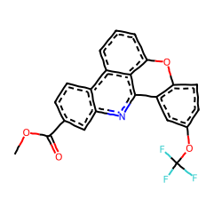 COC(=O)c1ccc2c(c1)nc1c3c(cccc32)Oc2ccc(OC(F)(F)F)cc2-1